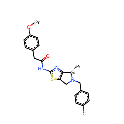 CC(C)Oc1ccc(CC(=O)Nc2nc3c(s2)CN(Cc2ccc(Cl)cc2)[C@H]3C(C)C)cc1